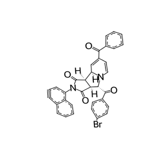 O=C(C1=C[C@@H]2[C@@H]3C(=O)N(c4cc#cc5ccccc45)C(=O)[C@@H]3[C@@H](C(=O)c3ccc(Br)cc3)N2C=C1)c1ccccc1